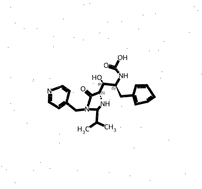 CC(C)C1N[C@@H]([C@H](O)[C@H](Cc2ccccc2)NC(=O)O)C(=O)N1Cc1ccncc1